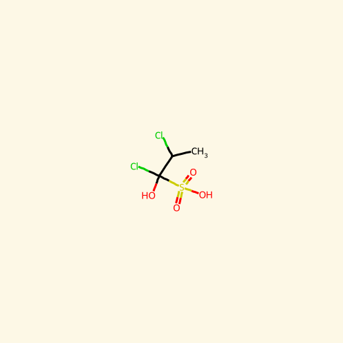 CC(Cl)C(O)(Cl)S(=O)(=O)O